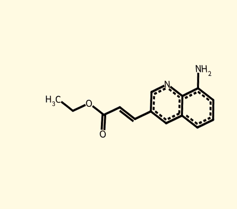 CCOC(=O)C=Cc1cnc2c(N)cccc2c1